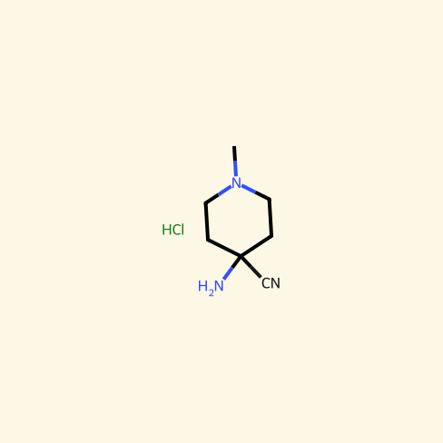 CN1CCC(N)(C#N)CC1.Cl